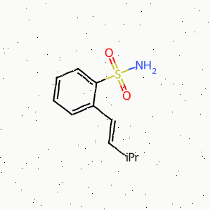 CC(C)/C=C/c1ccccc1S(N)(=O)=O